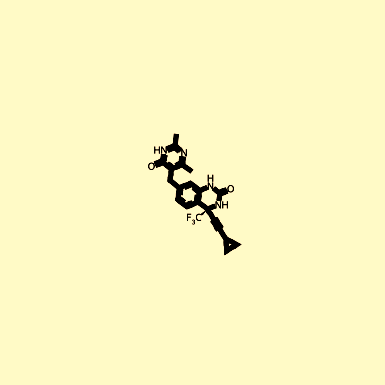 Cc1nc(C)c(Cc2ccc3c(c2)NC(=O)N[C@]3(C#CC2CC2)C(F)(F)F)c(=O)[nH]1